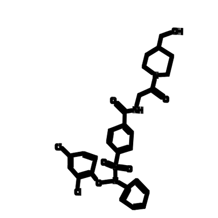 O=C(NCC(=O)N1CCC(CO)CC1)c1ccc(S(=O)(=O)N(Oc2ccc(Cl)cc2Cl)c2ccccc2)cc1